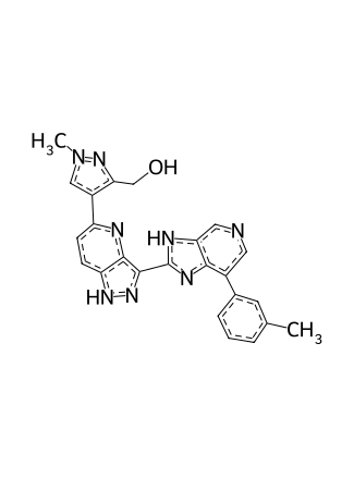 Cc1cccc(-c2cncc3[nH]c(-c4n[nH]c5ccc(-c6cn(C)nc6CO)nc45)nc23)c1